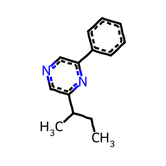 CCC(C)c1cncc(-c2ccccc2)n1